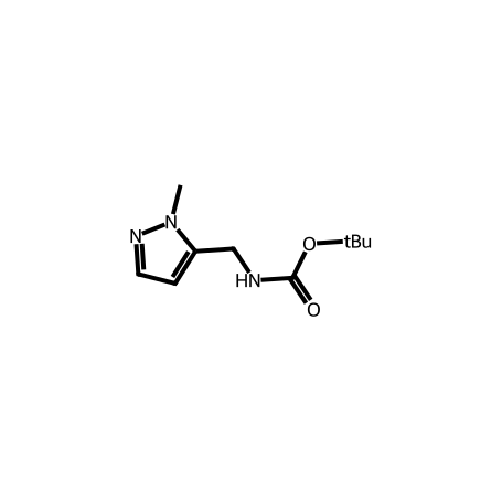 Cn1nccc1CNC(=O)OC(C)(C)C